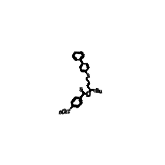 CCCCCCCCc1ccc(C(=S)OC(CCCC)CCCSc2ccc(-c3ccccc3)cc2)cc1